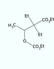 CCOC(=O)OC(C)C(CC)(CC)C(=O)OCC